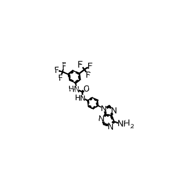 Nc1ncnc2c1ncn2-c1ccc(NC(=O)Nc2cc(C(F)(F)F)cc(C(F)(F)F)c2)cc1